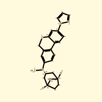 CN(c1ccc2c(c1)COc1cc(-n3cccn3)ccc1-2)[C@H]1C[C@H]2CC[C@@H](C1)N2